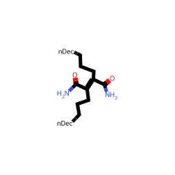 CCCCCCCCCCCCCC(C(N)=O)=C(CCCCCCCCCCCCC)C(N)=O